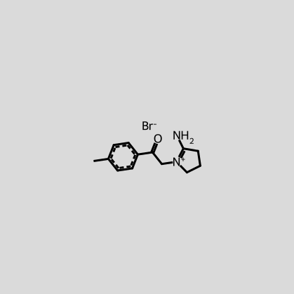 Cc1ccc(C(=O)C[N+]2=C(N)CCC2)cc1.[Br-]